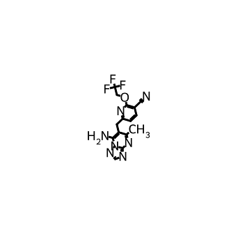 Cc1nc2ncnn2c(N)c1Cc1ccc(C#N)c(OCC(F)(F)F)n1